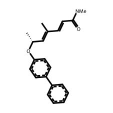 CNC(=O)/C=C/C(C)=C/[C@@H](C)Oc1ccc(-c2ccccc2)cc1